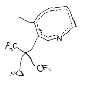 Cc1cccnc1C(O)(C(F)(F)F)C(F)(F)F